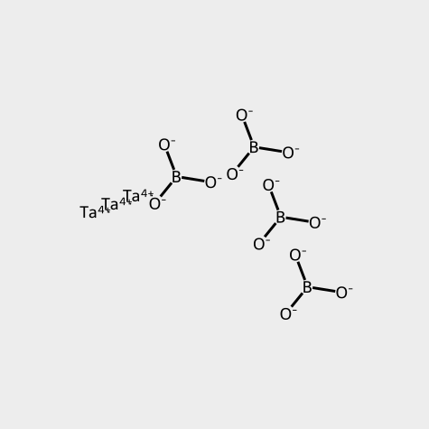 [O-]B([O-])[O-].[O-]B([O-])[O-].[O-]B([O-])[O-].[O-]B([O-])[O-].[Ta+4].[Ta+4].[Ta+4]